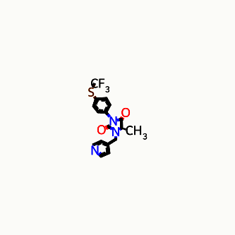 C[C@@H]1C(=O)N(c2ccc(SC(F)(F)F)cc2)C(=O)N1Cc1ccncc1